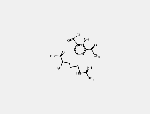 CC(=O)c1cccc(C(=O)O)c1O.N=C(N)NCCCC(N)C(=O)O